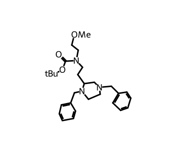 COCCN(CCC1CN(Cc2ccccc2)CCN1Cc1ccccc1)C(=O)OC(C)(C)C